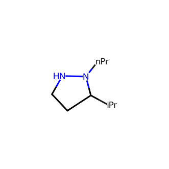 CCCN1NCCC1C(C)C